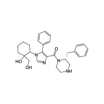 O=C(c1ncn(C2CCCCC2(O)CO)c1-c1ccccc1)N1CCNC[C@H]1Cc1ccccc1